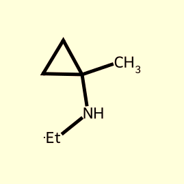 C[CH]NC1(C)CC1